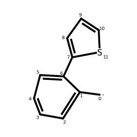 [CH2]c1ccccc1-c1cccs1